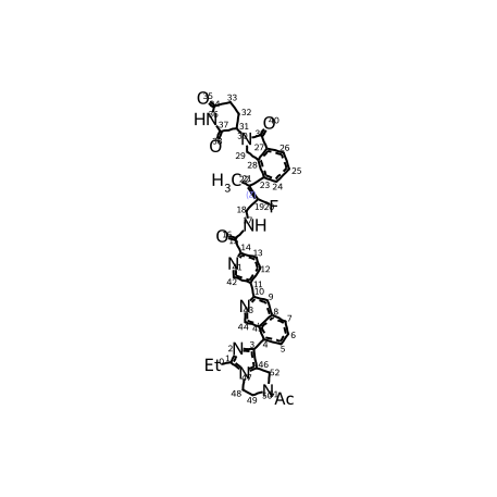 CCc1nc(-c2cccc3cc(-c4ccc(C(=O)NC/C(F)=C(\C)c5cccc6c5CN(C5CCC(=O)NC5=O)C6=O)nc4)ncc23)c2n1CCN(C(C)=O)C2